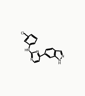 Clc1cccc(Nc2nccc(-c3ccc4cn[nH]c4c3)n2)c1